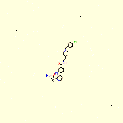 NC(=O)C1(c2nccc3c2[nH]c2cc(C(=O)NCCC4CCN(Cc5ccc(Cl)cc5)CC4)ccc23)CC1